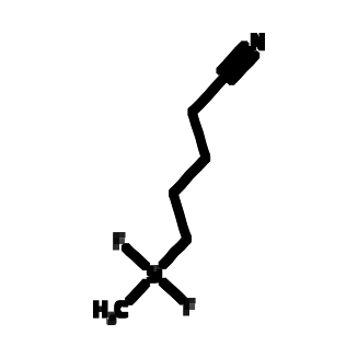 C[Si](F)(F)CCCCC#N